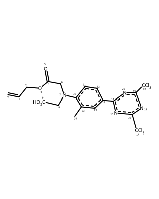 C=CCOC(=O)CN(CC(=O)O)c1ccc(-c2nc(C(Cl)(Cl)Cl)nc(C(Cl)(Cl)Cl)n2)cc1C